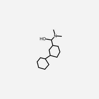 CN(C)C(O)C1CCCC(C2CCCCC2)C1